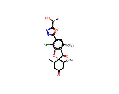 COC1=CC(=O)C[C@@H](C)[C@]12Oc1c(Cl)c(-c3nnc([C@H](C)O)o3)cc(OC)c1C2=O